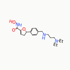 CCN(CC)CCCNCc1ccc(C2CC=C(C(=O)NO)O2)cc1